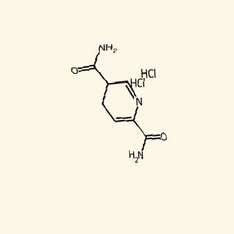 Cl.Cl.NC(=O)C1=CCC(C(N)=O)C=N1